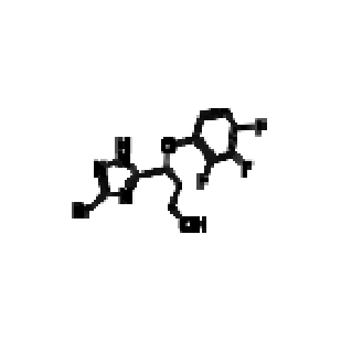 OCCC(Oc1ccc(F)c(F)c1F)c1nc(Br)n[nH]1